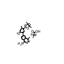 COc1cc(C)c(B2OC(C)(C)C(C)(C)O2)cc1-c1ccc2c(N)nnc(C)c2c1.O=C(O)C(F)(F)F